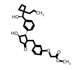 CCCC1([C@H](O)c2cccc([C@@H]3C(Cc4cccc(OCC(=O)OC)c4)C(=O)C[C@H]3O)c2)CCC1